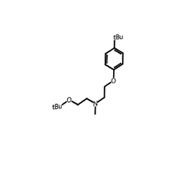 CN(CCOc1ccc(C(C)(C)C)cc1)CCOC(C)(C)C